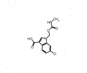 CNC(=O)OCn1cc(C(=O)O)c2ccc(Cl)cc21